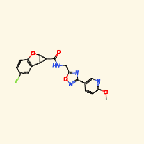 COc1ccc(-c2noc(CNC(=O)C3C4Oc5ccc(F)cc5C43)n2)cn1